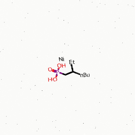 CCCCC(CC)CP(=O)(O)O.[Ni]